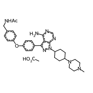 CC(=O)NCc1ccc(Oc2ccc(-c3nn(C4CCC(N5CCN(C)CC5)CC4)c4ncnc(N)c34)cc2)cc1.CC(=O)O